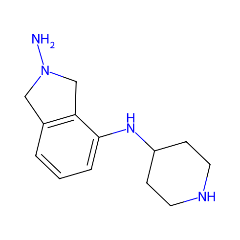 NN1Cc2cccc(NC3CCNCC3)c2C1